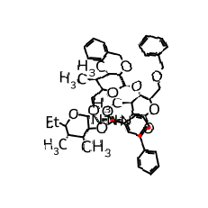 CCC1O[C@H](OCC2O[C@@H](O[C@@H]3C(COCc4ccccc4)O[C@@H](OCc4ccccc4)C(N=[N+]=[N-])[C@H]3C)C(OCc3ccccc3)[C@@H](C)[C@@H]2C)C(OC(=O)c2ccccc2)[C@@H](C)[C@@H]1C